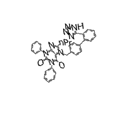 CCCc1nc2c(c(=O)n(-c3ccccc3)c(=O)n2-c2ccccc2)n1Cc1ccc(-c2ccccc2-c2nnn[nH]2)cc1